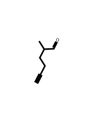 C#CCCC(C)C=O